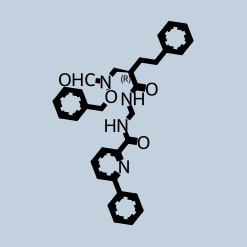 O=CN(C[C@@H](CCc1ccccc1)C(=O)NCNC(=O)c1cccc(-c2ccccc2)n1)OCc1ccccc1